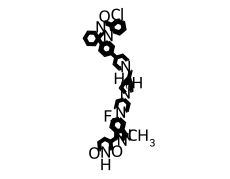 Cn1nc(C2CCC(=O)NC2=O)c2cc(F)c(N3CCC(N4C[C@@H]5C(CN6CCC(c7ccc8c(c7)-n7c(nc(=O)c9c(Cl)cccc97)C87CCCCC7)CC6)[C@@H]5C4)CC3)cc21